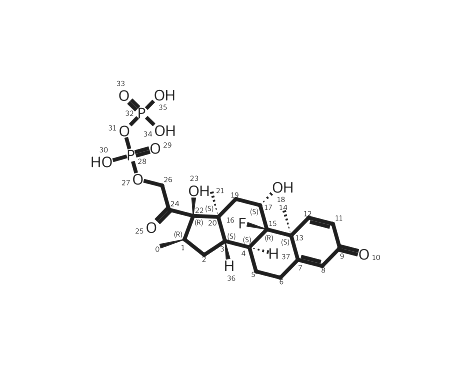 C[C@@H]1C[C@H]2[C@@H]3CCC4=CC(=O)C=C[C@]4(C)[C@@]3(F)[C@@H](O)C[C@]2(C)[C@@]1(O)C(=O)COP(=O)(O)OP(=O)(O)O